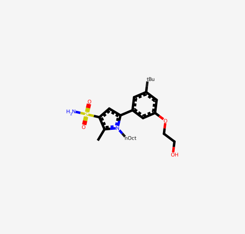 CCCCCCCCn1c(-c2cc(OCCO)cc(C(C)(C)C)c2)cc(S(N)(=O)=O)c1C